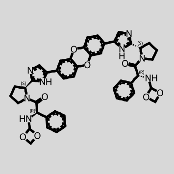 O=C([C@H](NC1OCO1)c1ccccc1)N1CCC[C@H]1c1ncc(-c2ccc3c(c2)Oc2ccc(-c4cnc([C@@H]5CCCN5C(=O)[C@H](NC5OCO5)c5ccccc5)[nH]4)cc2O3)[nH]1